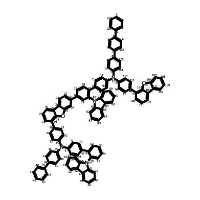 c1ccc(-c2ccc(-c3ccc(N(c4ccc(-c5ccc(-c6ccc7c(c6)oc6c(-c8ccc(N(c9ccc(-c%10ccccc%10)cc9)c9ccc(-c%10ccccc%10-n%10c%11ccccc%11c%11ccccc%11%10)cc9)cc8)cccc67)cc5-n5c6ccccc6c6ccccc65)cc4)c4ccc(-c5cccc6c5oc5ccccc56)cc4)cc3)cc2)cc1